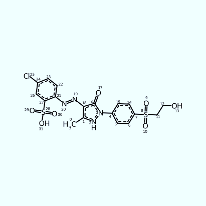 Cc1[nH]n(-c2ccc(S(=O)(=O)CCO)cc2)c(=O)c1/N=N/c1ccc(Cl)cc1S(=O)(=O)O